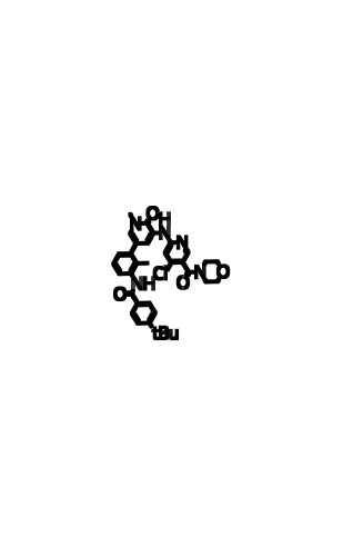 Cc1c(NC(=O)c2ccc(C(C)(C)C)cc2)cccc1-c1cc(Nc2cc(Cl)c(C(=O)N3CCOCC3)cn2)c(=O)n(C)c1